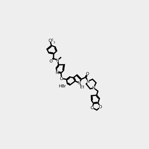 Br.CCn1c(C(=O)N2CCN(Cc3ccc4c(c3)OCO4)CC2)cc2cc(Oc3ccc(N(C)C(=O)c4ccc(C(F)(F)F)cc4)cn3)ccc21